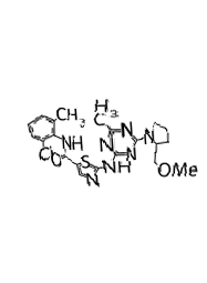 COCC1CCCN1c1nc(C)nc(Nc2ncc(C(=O)Nc3c(C)cccc3Cl)s2)n1